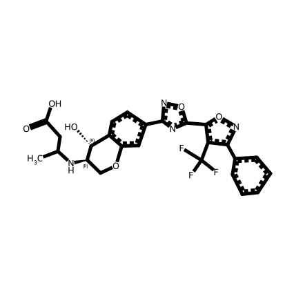 CC(CC(=O)O)N[C@@H]1COc2cc(-c3noc(-c4onc(-c5ccccc5)c4C(F)(F)F)n3)ccc2[C@H]1O